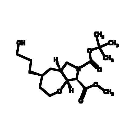 COC(=O)[C@@H]1[C@@H]2OCC[C@@H](CCCO)C[C@H]2CN1C(=O)OC(C)(C)C